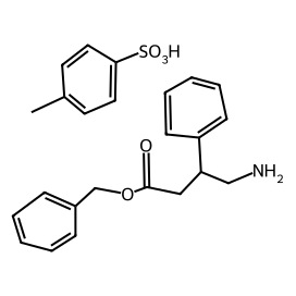 Cc1ccc(S(=O)(=O)O)cc1.NCC(CC(=O)OCc1ccccc1)c1ccccc1